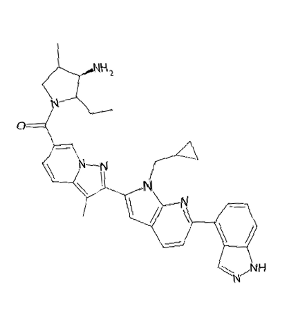 CCC1[C@H](N)C(C)CN1C(=O)c1ccc2c(C)c(-c3cc4ccc(-c5cccc6[nH]ncc56)nc4n3CC3CC3)nn2c1